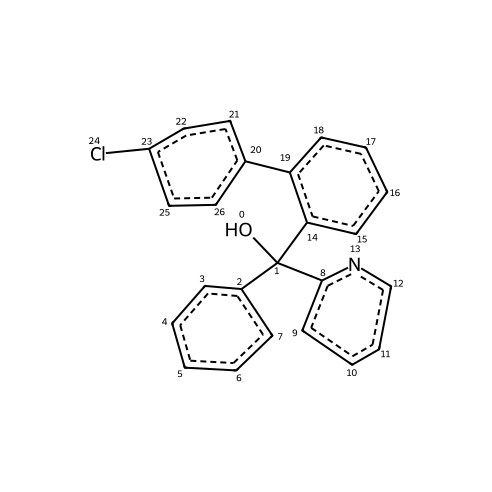 OC(c1ccccc1)(c1ccccn1)c1ccccc1-c1ccc(Cl)cc1